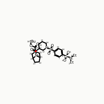 CCN(CC)S(=O)(=O)c1ccc(S(=O)(=O)N2CCCC(C(=O)N3C4CCC3CN(C(=O)OC(C)(C)C)C4)C2)cc1